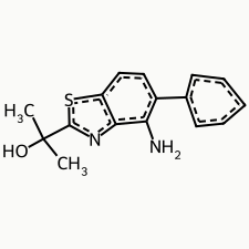 CC(C)(O)c1nc2c(N)c(-c3ccccc3)ccc2s1